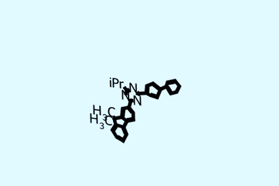 CC(C)c1nc(-c2ccc(C3=CCCC=C3)cc2)nc(-c2ccc3c(c2)C(C)(C)c2ccccc2-3)n1